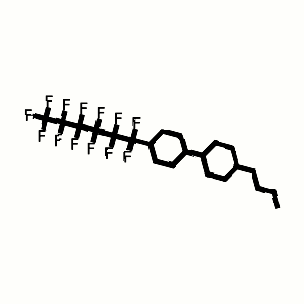 CCCCC1CCC(C2CCC(C(F)(F)C(F)(F)C(F)(F)C(F)(F)C(F)(F)C(F)(F)F)CC2)CC1